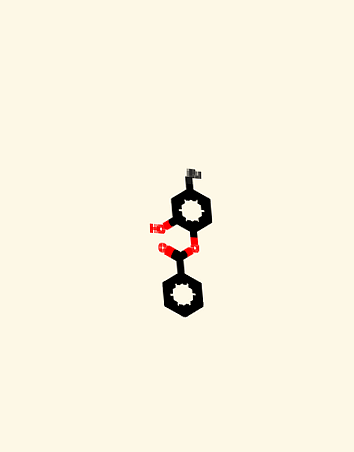 CCC(C)c1ccc(OC(=O)c2ccccc2)c(O)c1